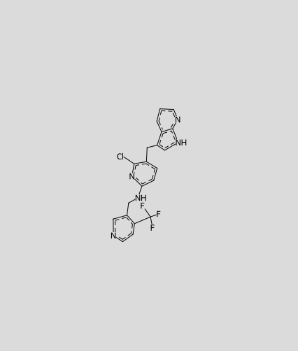 FC(F)(F)c1ccncc1CNc1ccc(Cc2c[nH]c3ncccc23)c(Cl)n1